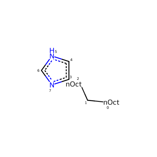 CCCCCCCCCCCCCCCCC.c1c[nH]cn1